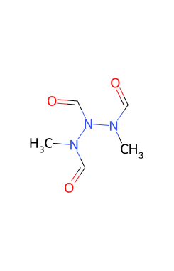 CN(C=O)N(C=O)N(C)C=O